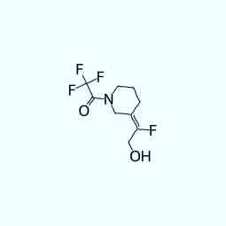 O=C(N1CCC/C(=C(\F)CO)C1)C(F)(F)F